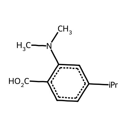 CC(C)c1ccc(C(=O)O)c(N(C)C)c1